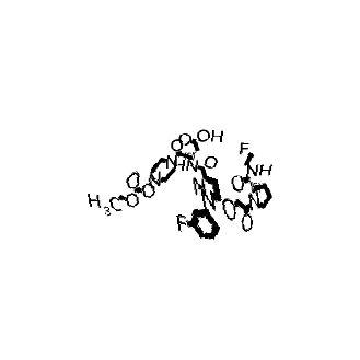 CCOC(=O)ON1CCN(C(=O)[C@H](CC(=O)O)NC(=O)c2cc(OCC(=O)N3CCC[C@H]3C(=O)NCCF)n(-c3cccc(F)c3)n2)CC1